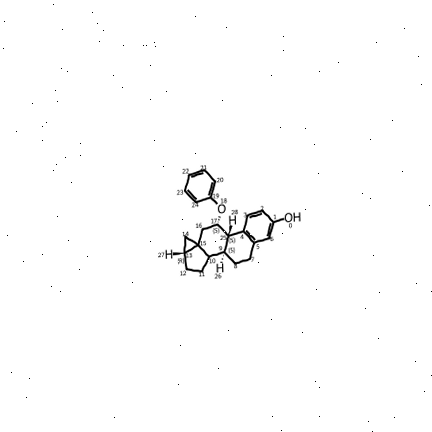 Oc1ccc2c(c1)CC[C@H]1C3CC[C@@H]4CC34C[C@H](Oc3ccccc3)[C@H]21